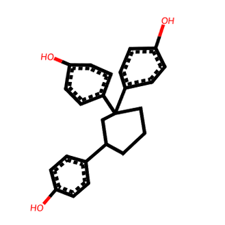 Oc1ccc(C2[CH]CCC(c3ccc(O)cc3)(c3ccc(O)cc3)C2)cc1